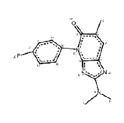 Cc1cc2nc(N(C)C)sc2n(-c2ccc(F)cc2)c1=O